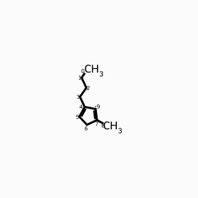 CCCCC1=CCC(C)=[C]1